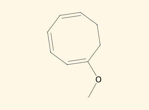 COC1=CC=CC=CCC1